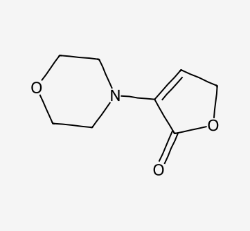 O=C1OCC=C1N1CCOCC1